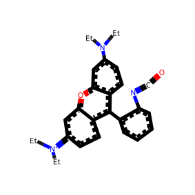 CCN(CC)c1ccc2c(-c3ccccc3N=C=O)c3ccc(=[N+](CC)CC)cc-3oc2c1